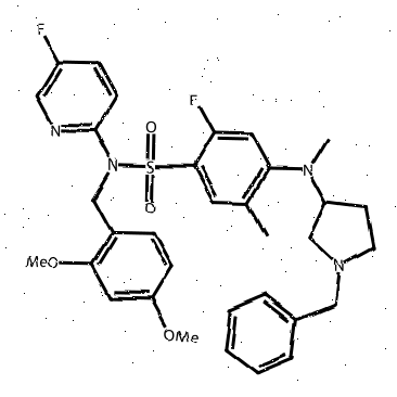 COc1ccc(CN(c2ccc(F)cn2)S(=O)(=O)c2cc(C)c(N(C)C3CCN(Cc4ccccc4)C3)cc2F)c(OC)c1